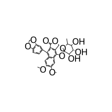 COc1cc2c(OC3OC(C)C(O)[C@H](O)C3O)c3c(c(-c4ccc5c(c4)OCO5)c2cc1OC)C(=O)OC3